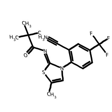 Cc1cn(-c2ccc(C(F)(F)F)cc2C#N)c(=NC(=O)C(C)(C)C)s1